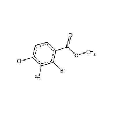 [2H]c1c(Cl)ccc(C(=O)OC)c1Br